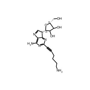 NCCCCC#Cc1nc(N)c2ncn([C@@H]3O[C@H](CO)C(O)C3O)c2n1